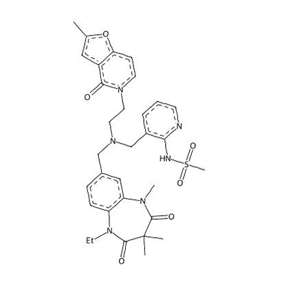 CCN1C(=O)C(C)(C)C(=O)N(C)c2cc(CN(CCn3ccc4oc(C)cc4c3=O)Cc3cccnc3NS(C)(=O)=O)ccc21